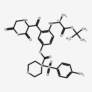 Cc1ccc(S(=O)(=O)[N+]2(C(=O)Oc3ccc(N[C@@H](C)C(=O)OC(C)(C)C)c(C(=O)C4NCC(=O)SC4=O)c3)CCOCC2)cc1